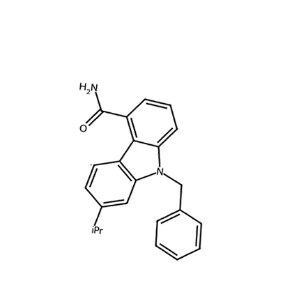 CC(C)c1c[c]c2c3c(C(N)=O)cccc3n(Cc3ccccc3)c2c1